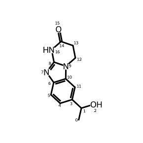 CC(O)c1ccc2nc3n(c2c1)CCC(=O)N3